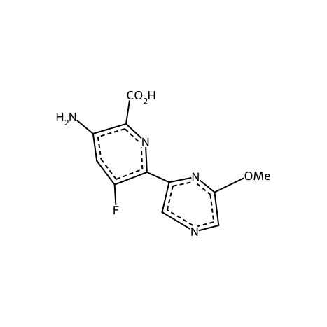 COc1cncc(-c2nc(C(=O)O)c(N)cc2F)n1